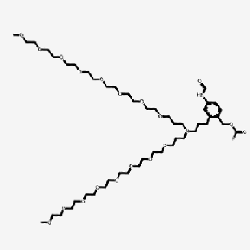 COCCOCCOCCOCCOCCOCCOCCOCCCN(CCCOCCOCCOCCOCCOCCOCCOCCOC)CCCc1cc(NC=O)ccc1COC(=O)F